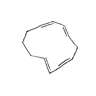 [C]1=C/C/C=C\C=C\CCC\C=C/1